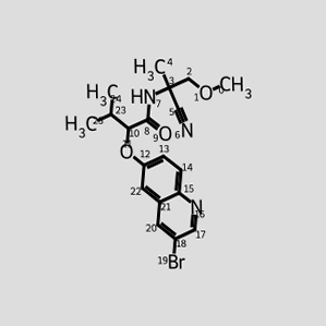 COCC(C)(C#N)NC(=O)C(Oc1ccc2ncc(Br)cc2c1)C(C)C